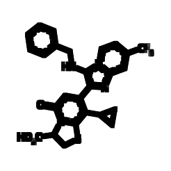 O=C(O)C1CSc2c(C3CC3)c(-c3nc4cc(C(F)(F)F)ccn4c3NCc3ccccc3)cc(=O)n21